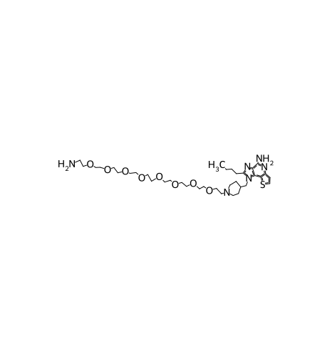 CCCCc1nc2c(N)nc3ccsc3c2n1CC1CCN(CCOCCOCCOCCOCCOCCOCCOCCOCCN)CC1